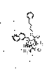 CC(C)(C)OC(Cc1ccc2ncccc2c1)(N(N)C(=O)OCCCCc1ccccc1)C(O)(O)C(N)=C=O